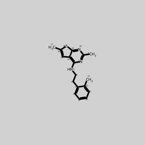 Cc1nc(NCCc2ccccc2C)c2cc(C)sc2n1